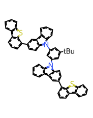 CC(C)(C)c1cc(-n2c3ccccc3c3cc(-c4cccc5c4sc4ccccc45)ccc32)cc(-n2c3ccccc3c3cc(-c4cccc5c4sc4ccccc45)ccc32)c1